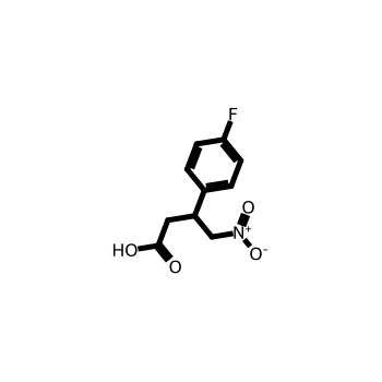 O=C(O)CC(C[N+](=O)[O-])c1ccc(F)cc1